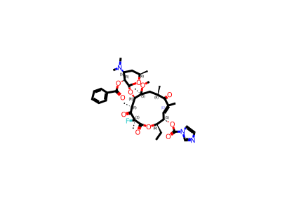 CC[C@H]1OC(=O)[C@@](C)(F)C(=O)[C@H](C)[C@@H](OC2O[C@H](C)C[C@H](N(C)C)[C@H]2OC(=O)c2ccccc2)[C@@](C)(OC)C[C@@H](C)C(=O)/C(C)=C/[C@@H]1OC(=O)n1ccnc1